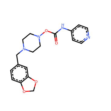 O=C(Nc1ccncc1)ON1CCN(Cc2ccc3c(c2)OCO3)CC1